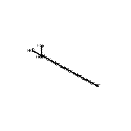 [N-]=[N+]=NCCOCCOCCOCCOCCOCCOCCOCCOCCOCCOCCOCCOCCOCCOCCOCCOCCOCCOCCOCCOCCOCCOCCOCCNC(=O)C(C(=O)O)C(CCCCCCCCCCCC(=O)O)CCCCCCCCCCC(=O)O